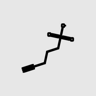 C#CCCCS([O])(=O)=O